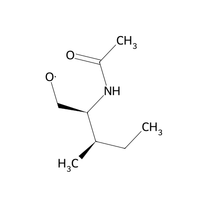 CC[C@@H](C)[C@@H](C[O])NC(C)=O